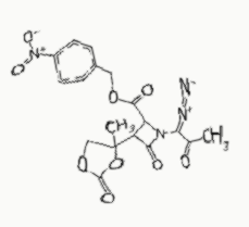 CC(=O)C(=[N+]=[N-])N1C(=O)C(C2(C)COC(=O)O2)C1C(=O)OCc1ccc([N+](=O)[O-])cc1